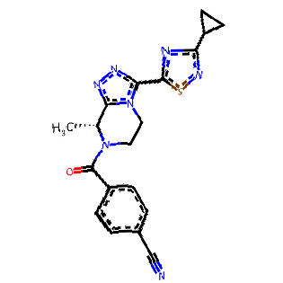 C[C@@H]1c2nnc(-c3nc(C4CC4)ns3)n2CCN1C(=O)c1ccc(C#N)cc1